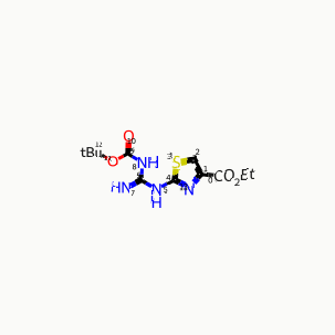 CCOC(=O)c1csc(NC(=N)NC(=O)OC(C)(C)C)n1